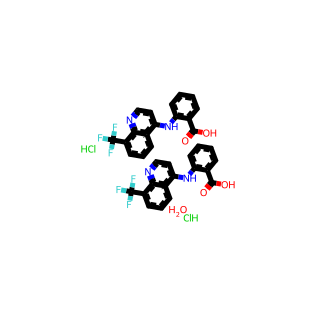 Cl.Cl.O.O=C(O)c1ccccc1Nc1ccnc2c(C(F)(F)F)cccc12.O=C(O)c1ccccc1Nc1ccnc2c(C(F)(F)F)cccc12